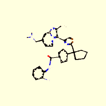 Cc1nc2cc(CN(C)C)ccn2c1-c1csc(C2(c3ccc(C(=O)Nc4ccccc4N)cc3)CCCC2)n1